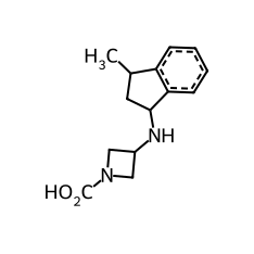 CC1CC(NC2CN(C(=O)O)C2)c2ccccc21